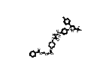 Cc1ccc(-c2cc(C(F)(F)F)nn2-c2ccc(S(=O)(=O)NC(=O)OC3CCN(n4on4OCOC(=O)c4ccccc4)CC3)cc2)cc1